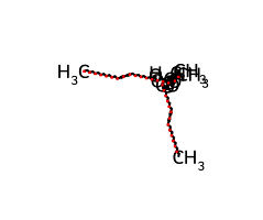 CCCCCCCCCCCCCC#CC#CCCCCCCCCC(=O)OC[C@H](COP(=O)([O-])OCC[N+](C)(C)C)OC(=O)CCCCCCCCC#CC#CCCCCCCCCCCCCC